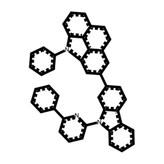 c1ccc(-c2cccc(-n3c4ccccc4c4ccc(-c5cc6ccc7cccc8c7c6c(c5)n8-c5ccccc5)cc43)n2)cc1